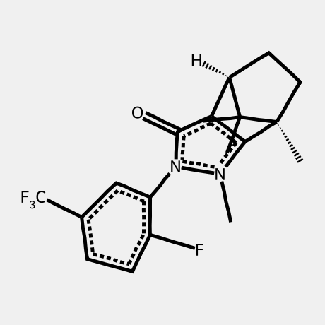 Cn1c2c(c(=O)n1-c1cc(C(F)(F)F)ccc1F)[C@H]1CC[C@]2(C)C1(C)C